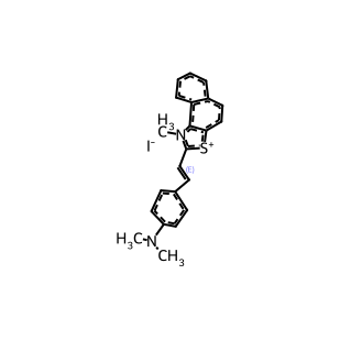 CN(C)c1ccc(/C=C/c2[s+]c3ccc4ccccc4c3n2C)cc1.[I-]